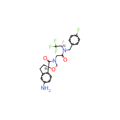 C[C@H](N(Cc1ccc(F)cc1)C(=O)CN1CO[C@@]2(CCc3cc(N)ccc32)C1=O)C(F)(F)F